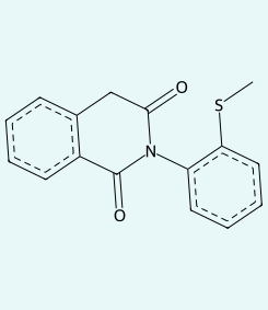 CSc1ccccc1N1C(=O)Cc2ccccc2C1=O